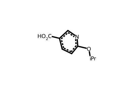 CC(C)Oc1ccc(C(=O)O)cn1